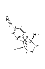 N#Cc1ccc(N2[C@@H]3CCC[C@H]2CC3)cc1